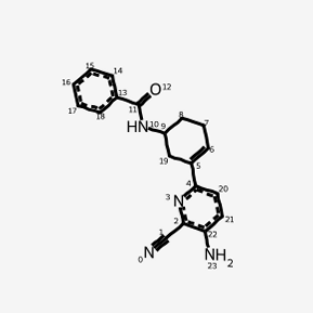 N#Cc1nc(C2=CCCC(NC(=O)c3ccccc3)C2)ccc1N